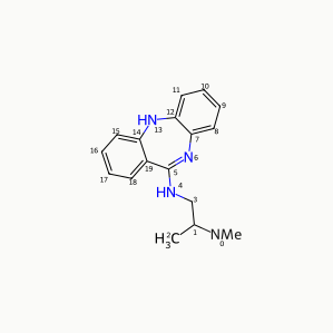 CNC(C)CNC1=Nc2ccccc2Nc2ccccc21